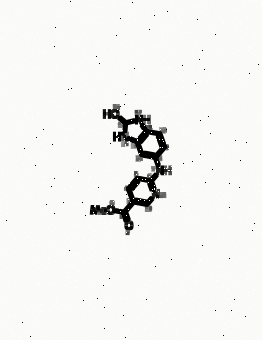 COC(=O)c1ccc(Nc2ccc3c(c2)NC(O)N3)nc1